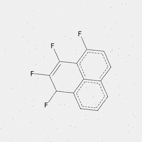 FC1=C(F)C(F)c2cccc3ccc(F)c1c23